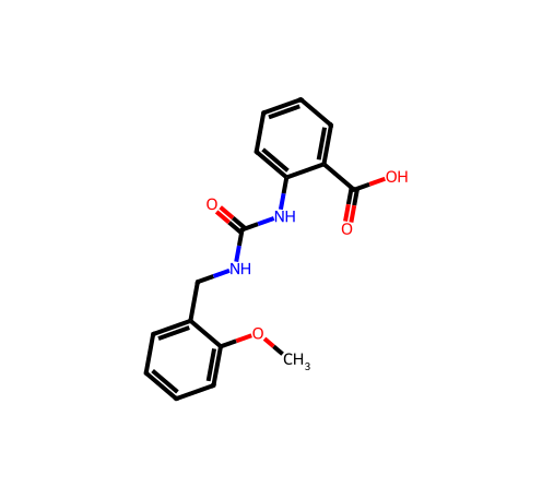 COc1ccccc1CNC(=O)Nc1ccccc1C(=O)O